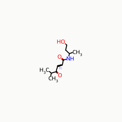 CC(CCO)NC(=O)/C=C/C(=O)C(C)C